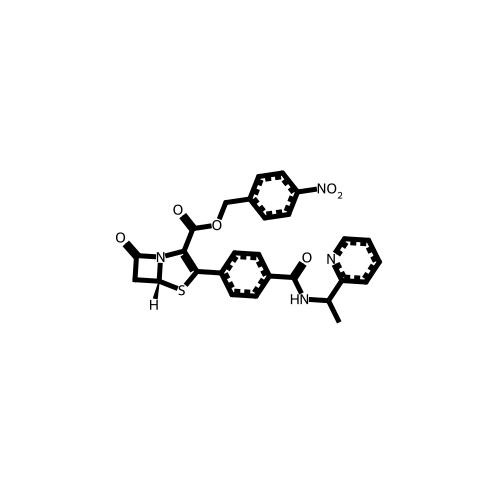 CC(NC(=O)c1ccc(C2=C(C(=O)OCc3ccc([N+](=O)[O-])cc3)N3C(=O)C[C@H]3S2)cc1)c1ccccn1